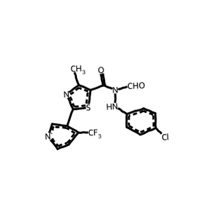 Cc1nc(-c2cnccc2C(F)(F)F)sc1C(=O)N(C=O)Nc1ccc(Cl)cc1